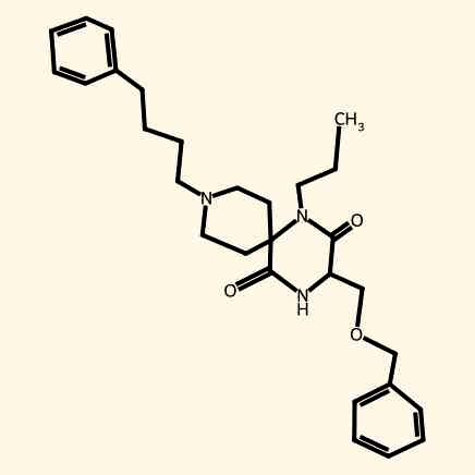 CCCN1C(=O)C(COCc2ccccc2)NC(=O)C12CCN(CCCCc1ccccc1)CC2